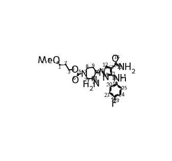 COCCCOC(=O)N1CC[C@@H](n2cc(C(N)=O)c(Nc3ccc(F)cc3)n2)[C@H](N)C1